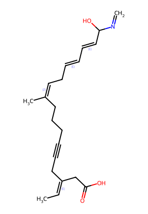 C=NC(O)/C=C/C=C/C/C=C(/C)CCCC#CC/C(=C\C)CC(=O)O